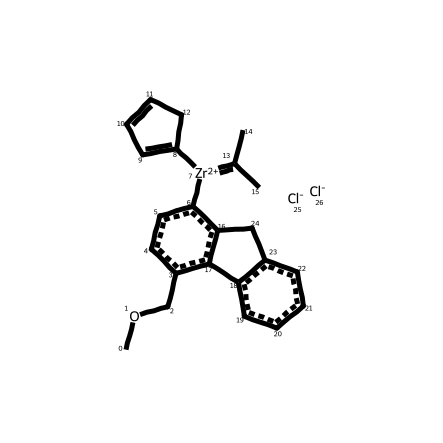 COCc1cc[c]([Zr+2]([C]2=CC=CC2)=[C](C)C)c2c1-c1ccccc1C2.[Cl-].[Cl-]